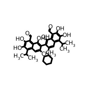 C1CCCCC1.Cc1cc2c(C(C)C)c(O)c(O)c(C=O)c2c(O)c1-c1c(C)cc2c(C(C)C)c(O)c(O)c(C=O)c2c1O